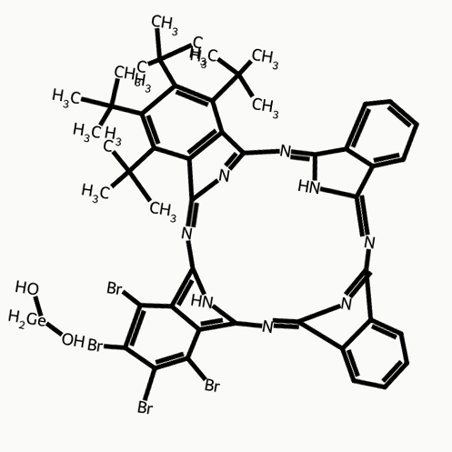 CC(C)(C)c1c2c(c(C(C)(C)C)c(C(C)(C)C)c1C(C)(C)C)-c1nc-2nc2[nH]c(nc3nc(nc4[nH]c(n1)c1c(Br)c(Br)c(Br)c(Br)c41)-c1ccccc1-3)c1ccccc21.[OH][GeH2][OH]